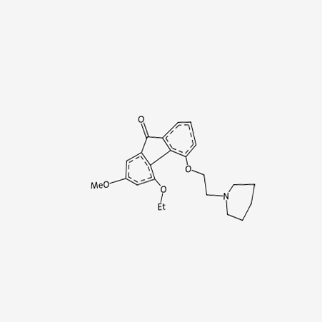 CCOc1cc(OC)cc2c1-c1c(OCCN3CCCCC3)cccc1C2=O